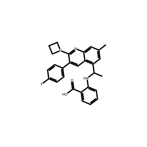 Cc1cc(C(C)Nc2ccccc2C(=O)O)c2cc(-c3ccc(F)cc3)c(N3CCC3)nc2c1